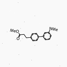 CNc1cccc(-c2ccc(CCC(=O)OC)cc2)c1